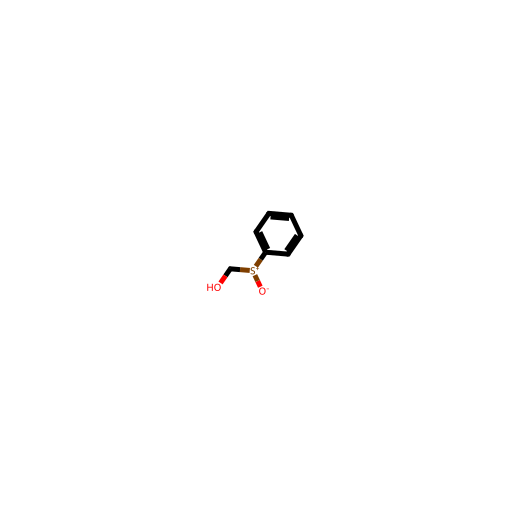 [O-][S+](CO)c1ccccc1